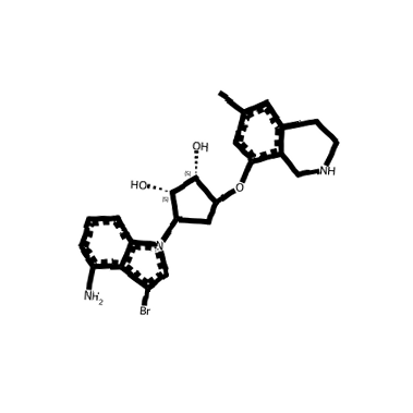 Cc1cc2c(c(OC3CC(n4cc(Br)c5c(N)cccc54)[C@H](O)[C@@H]3O)c1)CNCC2